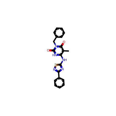 Cc1c(Nc2nc(-c3ccccc3)ns2)[nH]c(=O)n(Cc2ccccc2)c1=O